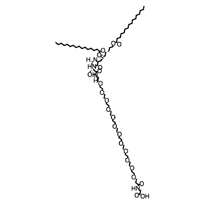 CCCCCCCCCCCCCCCC(=O)OCCC[C@H](CSC[C@H](N)C(=O)N[C@@H](CO)C(=O)NCCOCCOCCOCCOCCOCCOCCOCCOCCOCCOCCOCCOCCC(=O)NCC(=O)O)OC(=O)CCCCCCCCCCCCCCC